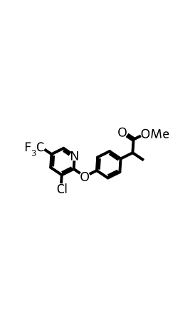 COC(=O)C(C)c1ccc(Oc2ncc(C(F)(F)F)cc2Cl)cc1